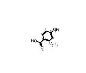 O=C(O)c1ccc(O)cc1.[AlH3]